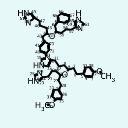 COc1ccc(CCC(CCCc2c[nH]cn2)OC(CCCc2c[nH]cn2)CCc2ccc(OC)cc2)cc1.c1ccc(CC(CCCc2c[nH]cn2)OC(CCCc2c[nH]cn2)Cc2ccccc2)cc1